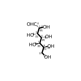 O=C[C@H](O)[C@@H](O)[C@H](O)[C@H](O)[C@@H](O)CO